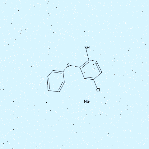 Sc1ccc(Cl)cc1Sc1ccccc1.[Na]